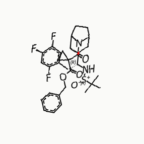 CC(C)(C)[S@+]([O-])N[C@H](Cc1cc(F)c(F)cc1F)C1CC2CCC(C1)N2C(=O)C1(C(=O)OCc2ccccc2)CC1